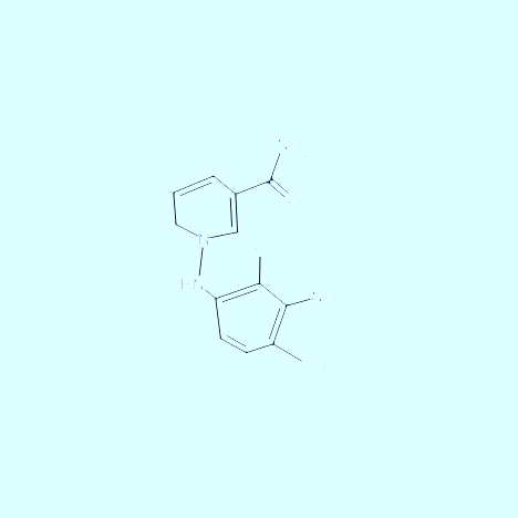 Cc1ccc(NN2C=C(C(N)=O)C=CC2)c(C)c1[N+](=O)[O-]